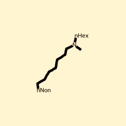 CCCCCCCCCCCCCCCCN(C)CCCCCC